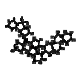 CC1(C)c2ccccc2-c2cc(N(c3ccc(-c4ccc5ccc6c7ccccc7ccc6c5c4)cc3)c3ccccc3-c3ccc4ccccc4c3)ccc21